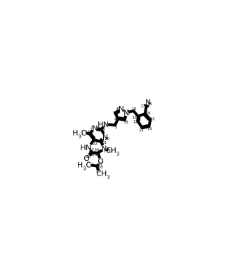 Cc1nc(NCc2cnn(Cc3ccccc3C#N)c2)nc2c1NC(=O)C(OC(C)C)N2C